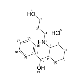 Cl.OCCCNC1CCCCC1C(O)c1ccccc1